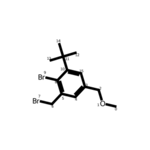 COCc1cc(CBr)c(Br)c(C(C)(C)C)c1